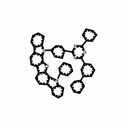 c1ccc(-c2cccc(-c3nc(-c4ccccc4)nc(-c4ccc(-n5c6ccccc6c6ccc7c8ccc9c%10ccccc%10n(-c%10ccccc%10)c9c8sc7c65)cc4)n3)c2)cc1